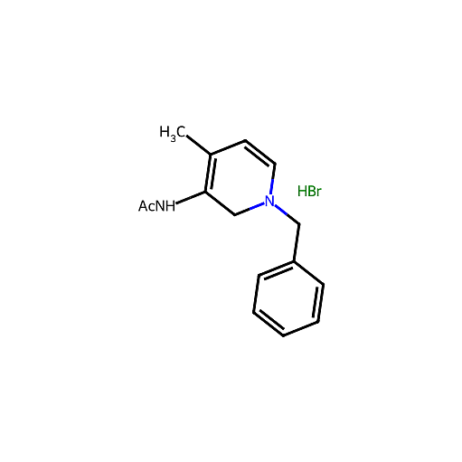 Br.CC(=O)NC1=C(C)C=CN(Cc2ccccc2)C1